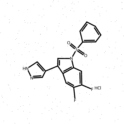 Cl.O=S(=O)(c1ccccc1)n1cc(-c2cn[nH]c2)c2cc(F)c(F)cc21